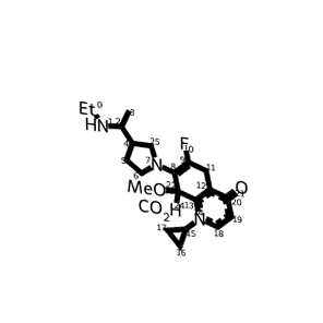 CCNC(C)C1CCN(C2=C(F)Cc3c(n(C4CC4)ccc3=O)C2(OC)C(=O)O)C1